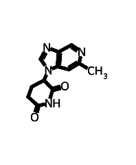 Cc1cc2c(cn1)ncn2C1CCC(=O)NC1=O